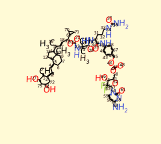 C=C1/C(=C\C=C2/CCC[C@@]3(C)C2CCC3[C@@H](C)/C=C/C(OC(=O)NC(C)(C)C(=O)NC(CCCNC(N)=O)C(=O)Nc2ccc(COC(=O)OCC3OC(n4ccc(N)nc4=O)C(F)(F)C3O)cc2)C2CC2)C[C@@H](O)C[C@@H]1O